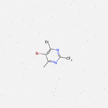 CCc1nc(C(F)(F)F)nc(C)c1Br